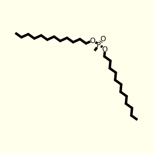 CCCCCCCCCCCCOP(C)(=O)OCCCCCCCCCCCC